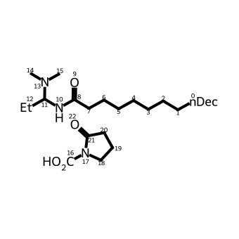 CCCCCCCCCCCCCCCCCC(=O)NC(CC)N(C)C.O=C(O)N1CCCC1=O